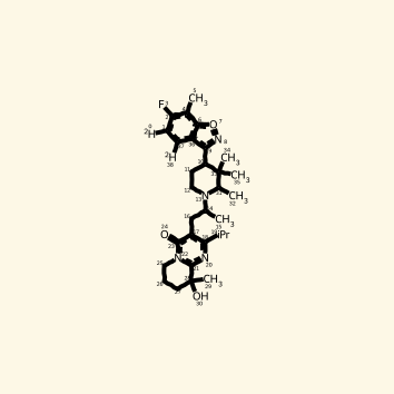 [2H]c1c(F)c(C)c2onc(C3CCN(C(C)Cc4c(C(C)C)nc5n(c4=O)CCCC5(C)O)C(C)C3(C)C)c2c1[2H]